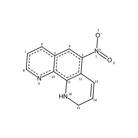 O=[N+]([O-])c1cc2cccnc2c2c1C=CCN2